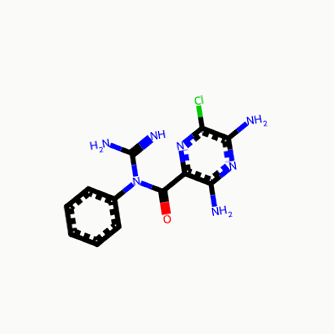 N=C(N)N(C(=O)c1nc(Cl)c(N)nc1N)c1ccccc1